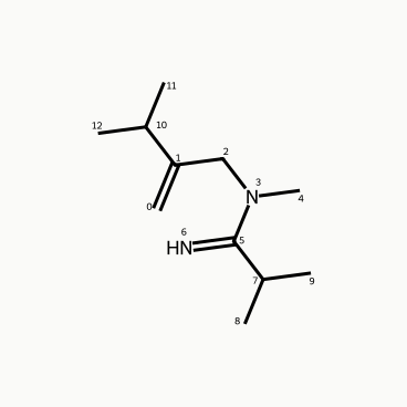 C=C(CN(C)C(=N)C(C)C)C(C)C